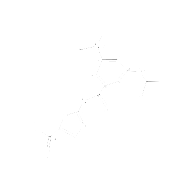 CC(C)Oc1cc(C(=O)Nc2ncc(C(=O)O)s2)cc(N(C)C)c1